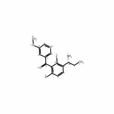 CC[C@@H](N)c1ccc(Cl)c(C(=O)c2cncc(OC)c2)c1F